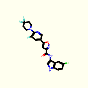 O=C(Nc1c[nH]c2ccc(Cl)cc12)c1cc(-c2cnc(N3CCC(F)(F)CC3)c(F)c2)on1